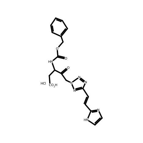 Cl.O=C(O)CC(NC(=O)OCc1ccccc1)C(=O)Cn1nnc(C=Cc2ncc[nH]2)n1